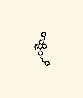 C(=C\c1ccccc1)/CN1CCN(C(c2ccccc2)c2nnnn2C2CCN(Cc3ccccc3)CC2)CC1